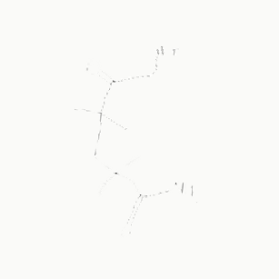 CC(C)CC(=O)C(C)(C)CC(C)(C)C(N)=O